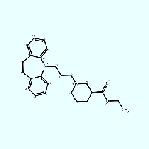 CCOC(=O)[C@H]1CCCN(CCCN2c3ccccc3CCc3ccccc32)C1